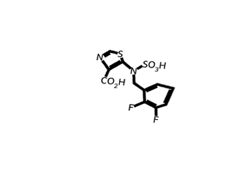 O=C(O)c1ncsc1N(Cc1cccc(F)c1F)S(=O)(=O)O